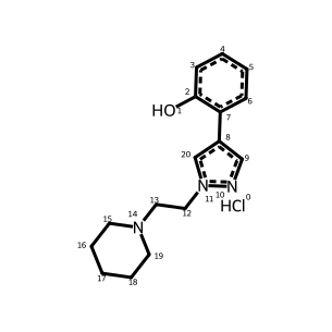 Cl.Oc1ccccc1-c1cnn(CCN2CCCCC2)c1